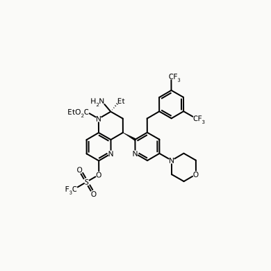 CCOC(=O)N1c2ccc(OS(=O)(=O)C(F)(F)F)nc2[C@H](c2ncc(N3CCOCC3)cc2Cc2cc(C(F)(F)F)cc(C(F)(F)F)c2)C[C@@]1(N)CC